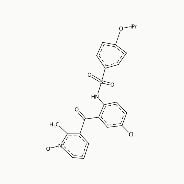 Cc1c(C(=O)c2cc(Cl)ccc2NS(=O)(=O)c2ccc(OC(C)C)cc2)ccc[n+]1[O-]